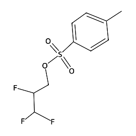 Cc1ccc(S(=O)(=O)OCC(F)C(F)F)cc1